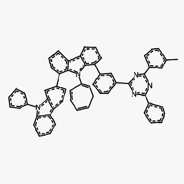 Cc1cccc(-c2nc(-c3ccccc3)nc(-c3cccc(-c4cccc5c6cccc(-c7ccc8c9ccccc9n(-c9ccccc9)c8c7)c6n(C6=CCC=CC=C6)c45)c3)n2)c1